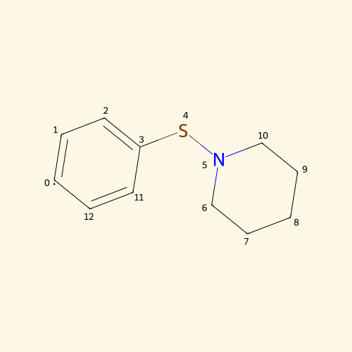 [c]1ccc(SN2CCCCC2)cc1